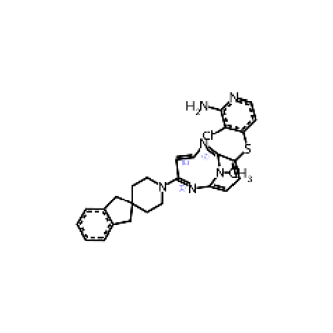 CN1C2=CC=C(Sc3ccnc(N)c3Cl)/C1=N/C=C/C(N1CCC3(CC1)Cc1ccccc1C3)=N\2